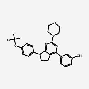 Oc1cccc(-c2nc(N3CCOCC3)nc3c2CCN3c2ccc(OC(F)(F)F)cc2)c1